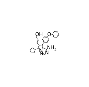 Nc1ncnn2c(C3CCCC3)c(C=CCO)c(-c3ccc(Oc4ccccc4)cc3)c12